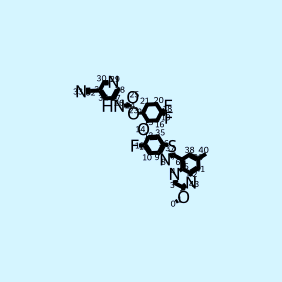 COc1cnc2c(-c3nc4cc(F)c(O[C@@H]5CC(F)(F)CC[C@@H]5OC(=O)Nc5cncc(C#N)c5)cc4s3)cc(C)cc2n1